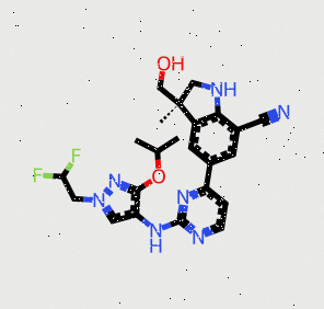 CC(C)Oc1nn(CC(F)F)cc1Nc1nccc(-c2cc(C#N)c3c(c2)[C@@](C)(CO)CN3)n1